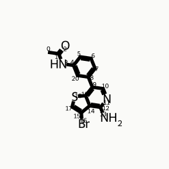 CC(=O)Nc1cccc(-c2cnc(N)c3c(Br)csc23)c1